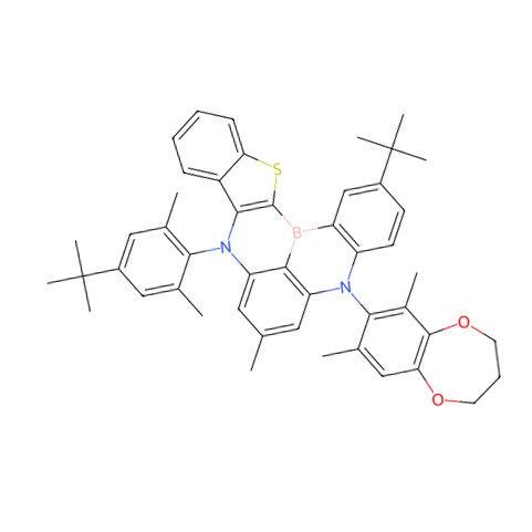 Cc1cc2c3c(c1)N(c1c(C)cc(C(C)(C)C)cc1C)c1c(sc4ccccc14)B3c1cc(C(C)(C)C)ccc1N2c1c(C)cc2c(c1C)OCCCO2